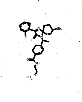 CC(C1=CC=C(C(=O)NCCC(=O)O)CC1)N1C(=O)C(c2ccccc2Cl)=NC12CCC(C(C)(C)C)CC2